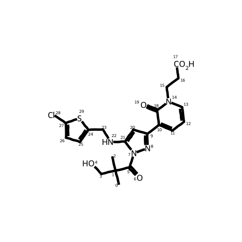 CC(C)(CO)C(=O)n1nc(-c2cccn(CCC(=O)O)c2=O)cc1NCc1ccc(Cl)s1